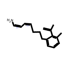 C=C(C)c1c(C)cccc1CCC/C=C\C=C/N